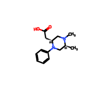 C[C@@H]1CN(c2ccccc2)[C@H](CC(=O)O)CN1C